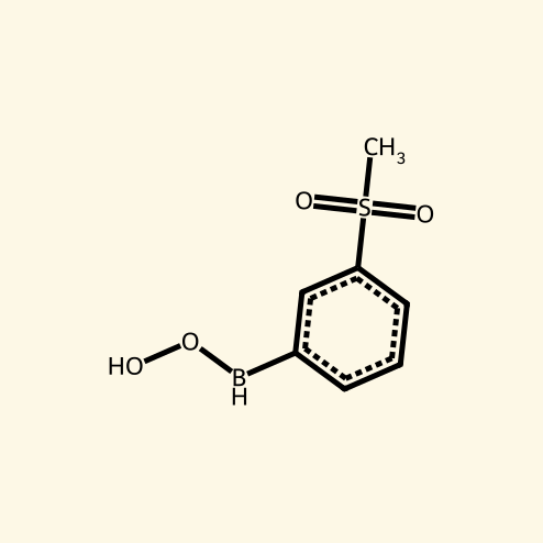 CS(=O)(=O)c1cccc(BOO)c1